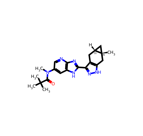 CN(C(=O)C(C)(C)C)c1cnc2nc(-c3n[nH]c4c3C[C@@H]3C[C@]3(C)C4)[nH]c2c1